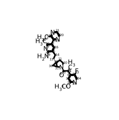 COc1cc([C@@H](C)C(=O)N2CC[C@]3(CCc4cc(-c5nccnc5C)c(C)nc4N)CC23)c(F)cn1